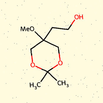 COC1(CCO)COC(C)(C)OC1